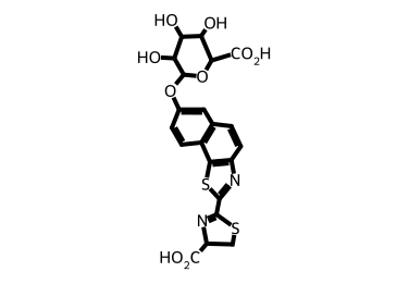 O=C(O)C1CSC(c2nc3ccc4cc(OC5OC(C(=O)O)C(O)C(O)C5O)ccc4c3s2)=N1